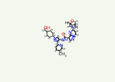 Cc1ccc(-c2nn(C3CCC(CO)CC3)cc2NC(=O)c2cnn3ccc(N4C[C@H]5C[C@@H]4CO5)nc23)nc1